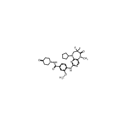 COc1cc(C(=O)NN2CCC(=O)CC2)ccc1Nc1ncc2c(n1)N(C1CCCC1)CC(F)(F)C(=O)N2C